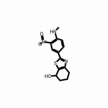 CNc1ccc(-c2nc3c(s2)C(O)CCC3)cc1[N+](=O)[O-]